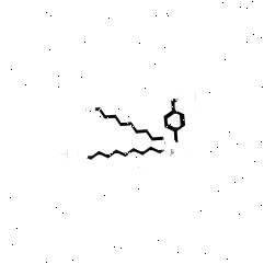 C=Cc1ccc(C[N+](C)(CCCCCCCCCC)CCCCCCCCCC)cc1.[Cl-]